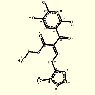 CCOC(=O)C(=CNc1nnnn1C)C(=O)c1cc(F)c(Cl)nc1Cl